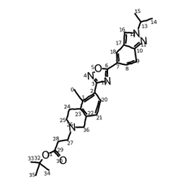 Cc1c(-c2noc(-c3ccc4nn(C(C)C)cc4c3)n2)ccc2c1CCN(CCC(=O)OC(C)(C)C)C2